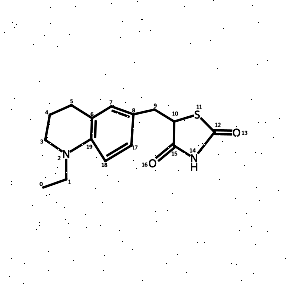 CCN1CCCc2cc(CC3SC(=O)NC3=O)ccc21